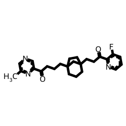 Cc1cncc(C(=O)CCCC23CCCC(CCC(=O)c4ncccc4F)(CC2)C3)n1